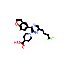 O=C(O)C1CCN(c2nc(CCCC(F)F)cnc2-c2cc(F)c3occc3c2)CC1